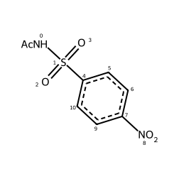 CC(=O)NS(=O)(=O)c1ccc([N+](=O)[O-])cc1